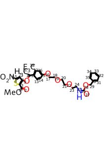 COC(=O)c1sc([N+](=O)[O-])cc1OC(C)c1ccc(OCCOCCOCCNC(=O)OCc2ccccc2)cc1C(F)(F)F